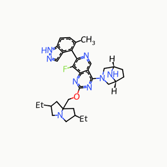 CCC1CN2CC(CC)CC2(COc2nc(N3C[C@H]4CC[C@@H](C3)N4)c3cnc(-c4c(C)ccc5[nH]ncc45)c(F)c3n2)C1